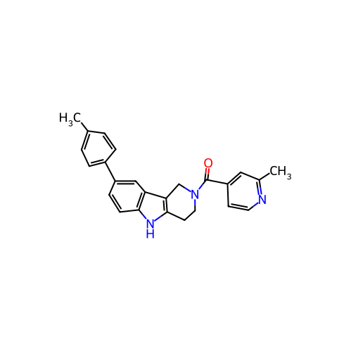 Cc1ccc(-c2ccc3[nH]c4c(c3c2)CN(C(=O)c2ccnc(C)c2)CC4)cc1